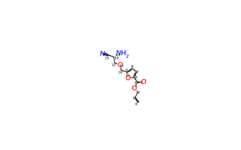 C=CCOC(=O)c1ccc(COC[C@@H](N)C#N)o1